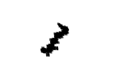 CCCOc1cccc2ccc(N=Nc3cc(C)c(N=Nc4cc(C)c(N=Nc5ccc6cc(Nc7ccccc7)ccc6c5O)cc4C)cc3C)cc12